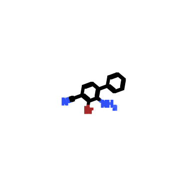 N#Cc1ccc(-c2ccccc2)c(N)c1Br